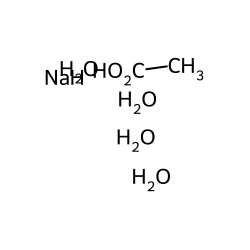 CC(=O)O.O.O.O.O.[NaH]